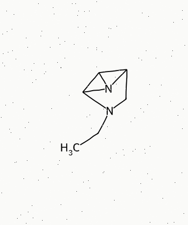 CCN1CC2C3C1N23